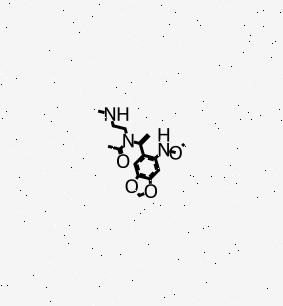 C=C(c1cc2c(cc1NOC)OCO2)N(CCNC)C(C)=O